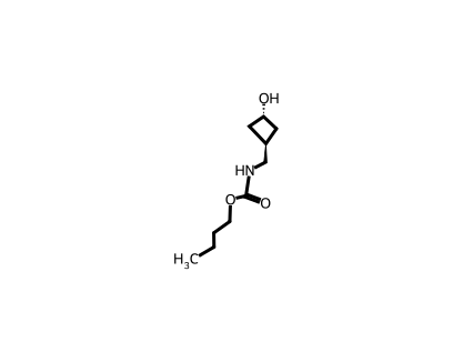 CCCCOC(=O)NC[C@H]1C[C@H](O)C1